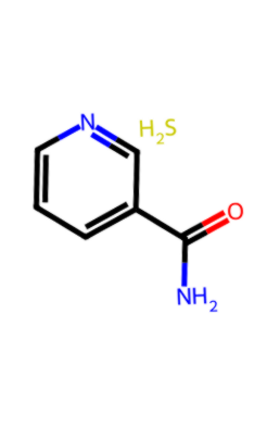 NC(=O)c1cccnc1.S